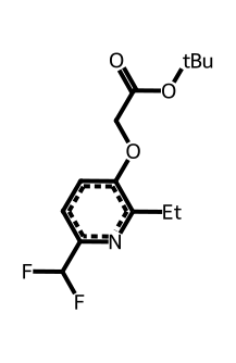 CCc1nc(C(F)F)ccc1OCC(=O)OC(C)(C)C